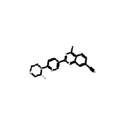 Cc1nc(-c2ccc(N3CCOC[C@H]3C)nc2)nc2cc(C#N)ccc12